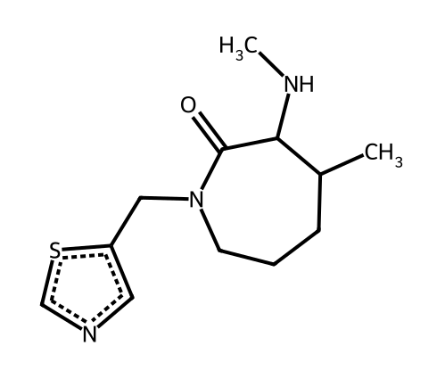 CNC1C(=O)N(Cc2cncs2)CCCC1C